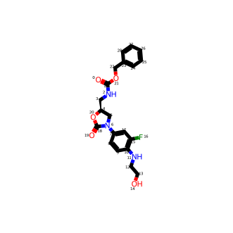 O=C(NC[C@H]1CN(c2ccc(NCCO)c(F)c2)C(=O)O1)OCc1ccccc1